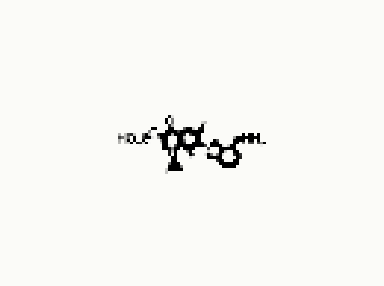 NCC1CC=CC2CN(c3c(F)cc4c(=O)c(OC(=O)O)cn(C5CC5)c4c3F)CC21